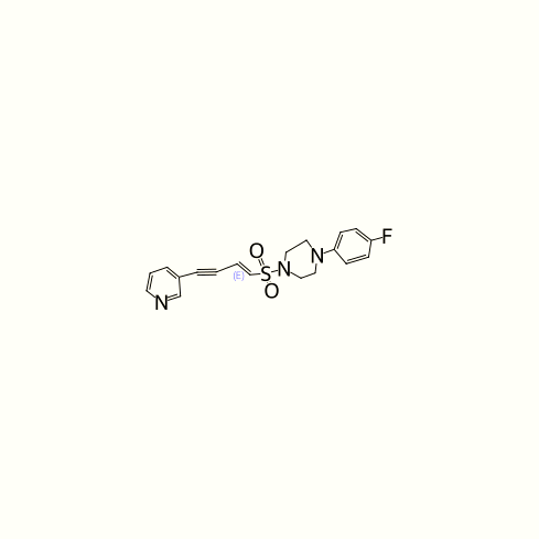 O=S(=O)(/C=C/C#Cc1cccnc1)N1CCN(c2ccc(F)cc2)CC1